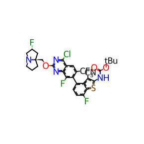 CC(C)(C)OC(=O)Nc1sc2c(F)ccc(-c3c(C(F)(F)F)cc4c(Cl)nc(OC[C@@]56CCCN5C[C@H](F)C6)nc4c3F)c2c1C#N